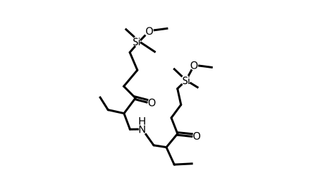 CCC(CNCC(CC)C(=O)CCC[Si](C)(C)OC)C(=O)CCC[Si](C)(C)OC